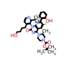 CC(C)c1nccc(CCCCO)c1-n1c(=O)nc(N2CCN(C(=O)OC(C)(C)C)C[C@@H]2C)c2cc(F)c(-c3c(O)cccc3F)nc21